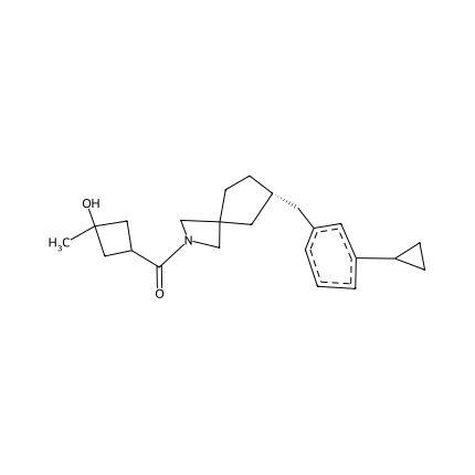 CC1(O)CC(C(=O)N2CC3(CC[C@H](Cc4cccc(C5CC5)c4)C3)C2)C1